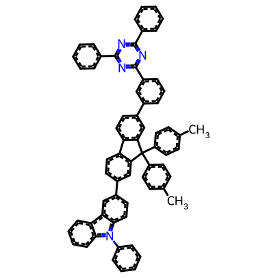 Cc1ccc(C2(c3ccc(C)cc3)c3cc(-c4cccc(-c5nc(-c6ccccc6)nc(-c6ccccc6)n5)c4)ccc3-c3ccc(-c4ccc5c(c4)c4ccccc4n5-c4ccccc4)cc32)cc1